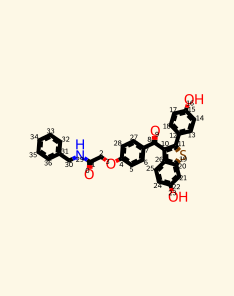 O=C(COc1ccc(C(=O)c2c(-c3ccc(O)cc3)sc3cc(O)ccc23)cc1)NCc1ccccc1